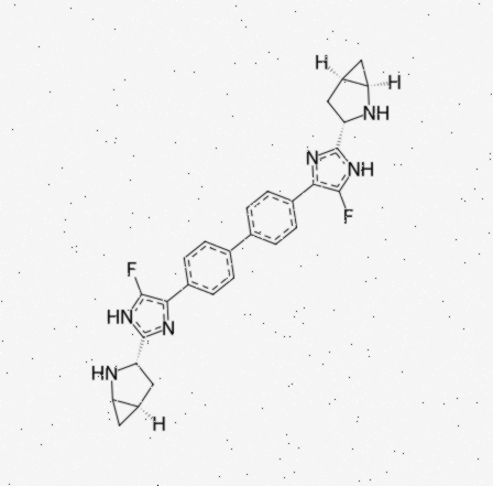 Fc1[nH]c([C@@H]2C[C@H]3CC3N2)nc1-c1ccc(-c2ccc(-c3nc([C@@H]4C[C@H]5C[C@H]5N4)[nH]c3F)cc2)cc1